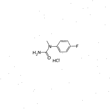 CN(C(N)=O)c1ccc(F)cc1.Cl